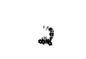 O=C(O)c1c(NS(=O)(=O)c2ccccc2NCCCN2CCN(c3nccc(C(F)(F)F)n3)CC2)ccc2c1CCCC2